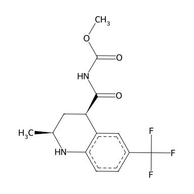 COC(=O)NC(=O)[C@@H]1C[C@H](C)Nc2ccc(C(F)(F)F)cc21